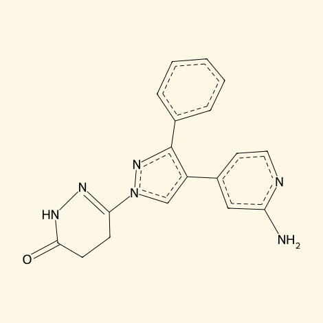 Nc1cc(-c2cn(C3=NNC(=O)CC3)nc2-c2ccccc2)ccn1